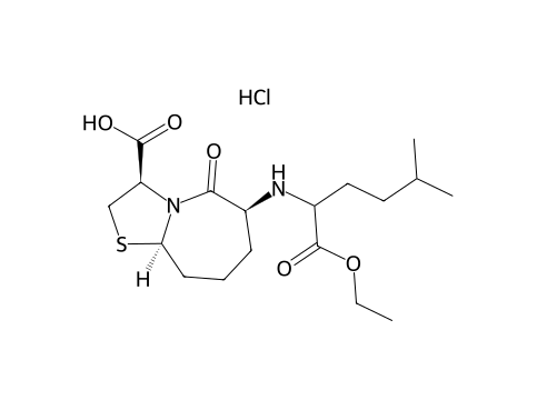 CCOC(=O)C(CCC(C)C)N[C@H]1CCC[C@H]2SC[C@@H](C(=O)O)N2C1=O.Cl